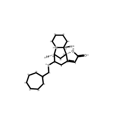 O=C1C=C2CC(SCC3CCCCCC3)[C@@H]3C[C@@]2(O1)[C@H]1CCCCN31